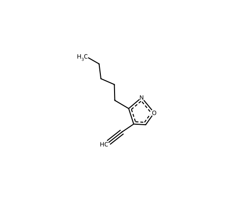 C#Cc1conc1CCCCC